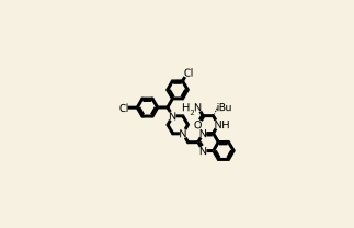 CCC(C)[C@H](Nc1nc(CN2CCN(C(c3ccc(Cl)cc3)c3ccc(Cl)cc3)CC2)nc2ccccc12)C(N)=O